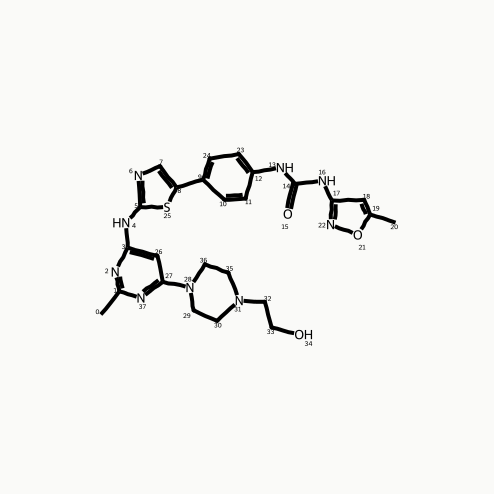 Cc1nc(Nc2ncc(-c3ccc(NC(=O)Nc4cc(C)on4)cc3)s2)cc(N2CCN(CCO)CC2)n1